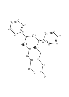 CCCCCNC(OC(NCCCCC)c1ccccc1)c1ccccc1